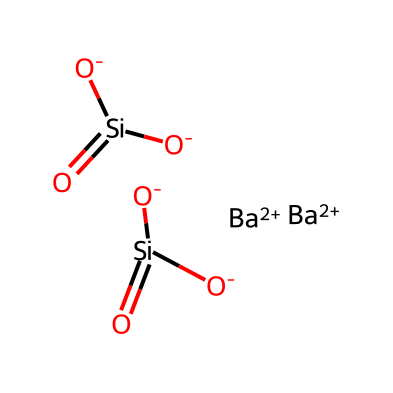 O=[Si]([O-])[O-].O=[Si]([O-])[O-].[Ba+2].[Ba+2]